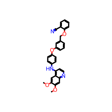 COc1cc2nccc(Nc3ccc(Oc4cccc(COc5ccccc5C#N)c4)cc3)c2cc1OC